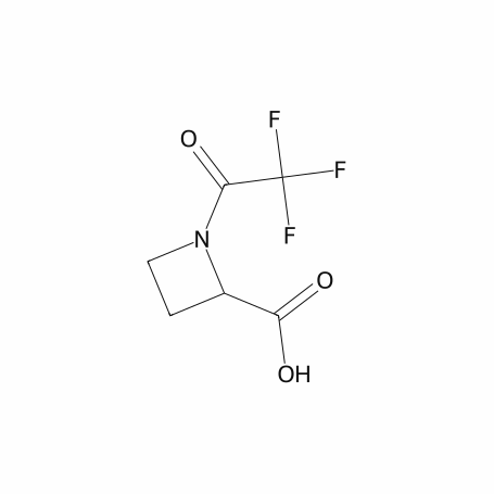 O=C(O)C1CCN1C(=O)C(F)(F)F